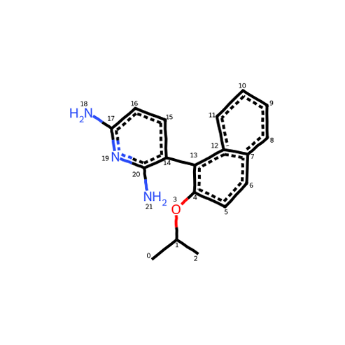 CC(C)Oc1ccc2ccccc2c1-c1ccc(N)nc1N